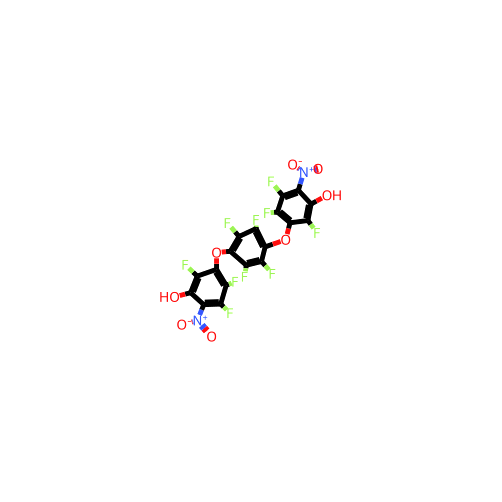 O=[N+]([O-])c1c(O)c(F)c(Oc2c(F)c(F)c(Oc3c(F)c(O)c([N+](=O)[O-])c(F)c3F)c(F)c2F)c(F)c1F